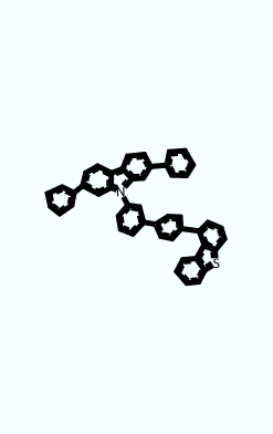 c1ccc(-c2ccc3c4ccc(-c5ccccc5)cc4n(-c4cccc(-c5ccc(-c6cccc7sc8ccccc8c67)cc5)c4)c3c2)cc1